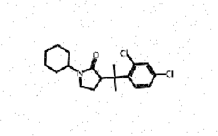 CC(C)(c1ccc(Cl)cc1Cl)C1CCN(C2CCCCC2)C1=O